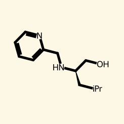 CC(C)C[C@H](CO)NCc1ccccn1